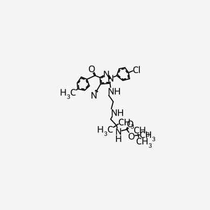 Cc1ccc(C(=O)c2nn(-c3ccc(Cl)cc3)c(NCCCNCC(C)(C)NC(=O)OC(C)(C)C)c2C#N)cc1